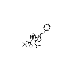 CC(C)CC1(C(N)C(=O)OC(C)(C)C)CCN(CCc2ccccc2)C1=O